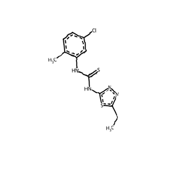 CCc1nnc(NC(=S)Nc2cc(Cl)ccc2C)s1